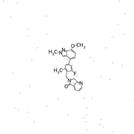 COc1ccc(-c2cc(C)c(CN3Cc4ncccc4C3=O)c(F)c2)c2cn(C)nc12